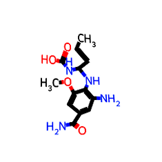 CC=CC(NC(=O)O)Nc1c(N)cc(C(N)=O)cc1OC